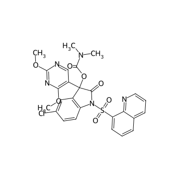 COc1ncc(C2(OC(=O)N(C)C)C(=O)N(S(=O)(=O)c3cccc4cccnc34)c3ccc(Cl)cc32)c(OC)n1